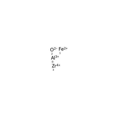 [Al+3].[Fe+2].[O-2].[Zr+4]